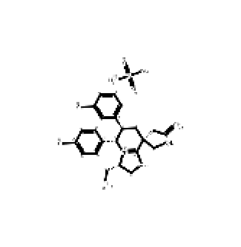 C=CC[C@@]1(CC)C[C@H](c2cccc(Cl)c2)[C@@H](c2ccc(Cl)cc2)[N+]2=C1OC[C@@H]2CC.CS(=O)(=O)[O-]